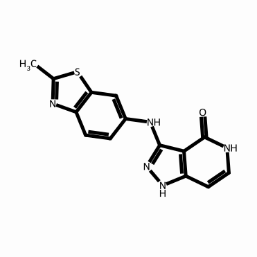 Cc1nc2ccc(Nc3n[nH]c4cc[nH]c(=O)c34)cc2s1